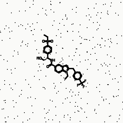 CCn1c(Cc2ccc(C(F)(F)F)cc2)cc2cc(C(=O)N[C@H](CO)c3ccc(S(=O)(=O)CC)cn3)ccc21